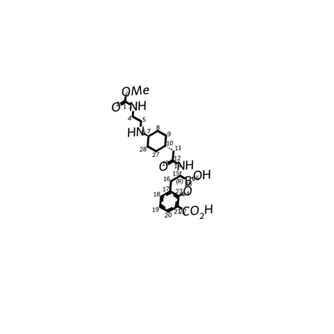 COC(=O)NCCN[C@H]1CC[C@H](CC(=O)N[C@H]2Cc3cccc(C(=O)O)c3OB2O)CC1